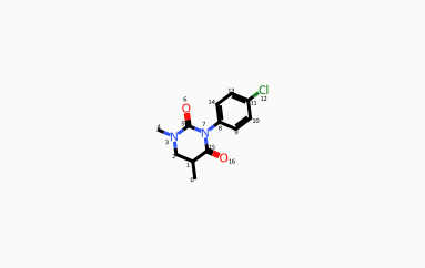 CC1CN(C)C(=O)N(c2ccc(Cl)cc2)C1=O